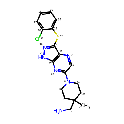 CC1(CN)CCN(c2cnc3c(Sc4ccccc4Cl)n[nH]c3n2)CC1